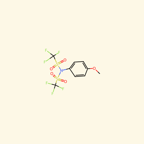 COc1ccc(N(S(=O)(=O)C(F)(F)F)S(=O)(=O)C(F)(F)F)cc1